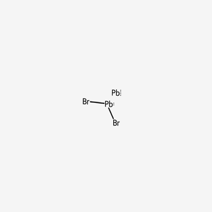 [Br][Pb][Br].[Pb]